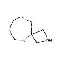 C1CCSC2(CC1)CNC2